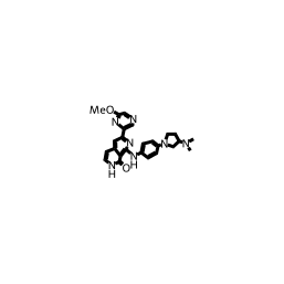 COc1cncc(-c2cc3cc[nH]c(=O)c3c(Nc3ccc(N4CCC(N(C)C)C4)cc3)n2)n1